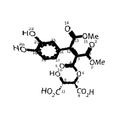 COC(=O)C(C(=O)O[C@@H](C(=O)O)[C@@H](O)C(=O)O)=C(C(=O)OC)c1ccc(O)c(O)c1